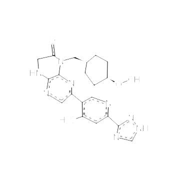 CO[C@H]1CC[C@@H](CN2C(=O)CNc3ncc(-c4cnc(-c5nc[nH]n5)cc4C)nc32)CC1